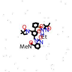 CCOc1nc2cccc(C(=O)NC)c2n1Cc1ccc(-c2ccccc2S(=O)(=O)Nc2noc(C)c2C)c(CN2CCC(C)(C)C2=O)c1